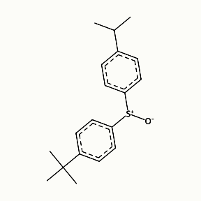 CC(C)c1ccc([S+]([O-])c2ccc(C(C)(C)C)cc2)cc1